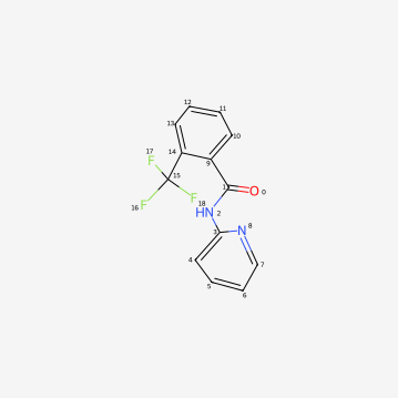 O=C(Nc1ccccn1)c1ccccc1C(F)(F)F